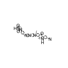 CCc1cc2c(cc1N1CCC(N3CCN(Cc4ccc(N5CCC(=O)NC5=O)cc4)CC3)CC1)C(C)(C)c1[nH]c3cc(C#N)ccc3c1C2=O